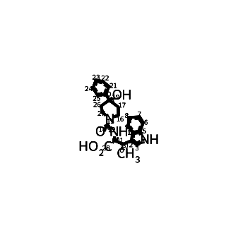 C[C@@H](c1c[nH]c2ccccc12)[C@@H](NC(=O)N1CCC(O)(c2ccccc2)CC1)C(=O)O